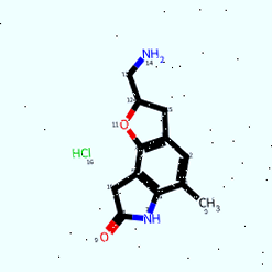 Cc1cc2c(c3c1NC(=O)C3)OC(CN)C2.Cl